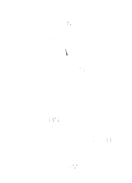 CCc1cc(C(=O)Nc2ccc(OC)c(CC(=O)O)c2)c(C)cc1OC[C@@H]1CN(C)c2ccccc2O1